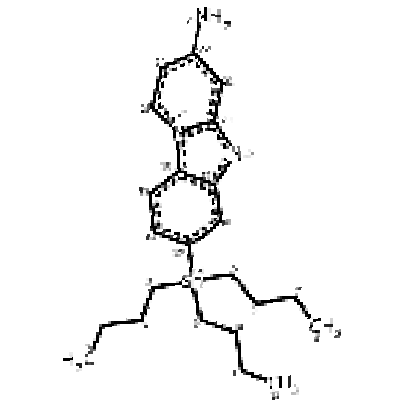 CCC[CH2][Sn]([CH2]CCC)([CH2]CCC)[c]1ccc2c(c1)nc1cc(N)ccn12